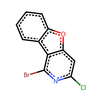 Clc1cc2oc3ccccc3c2c(Br)n1